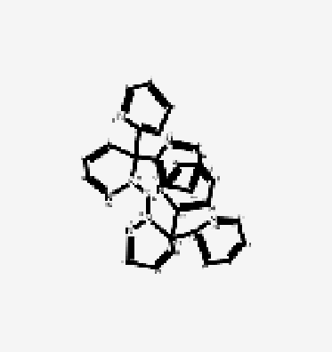 C1=CC(c2ccccn2)(c2ccccn2)N(SN2N=CC=CC2(c2ccccn2)c2ccccn2)N=C1